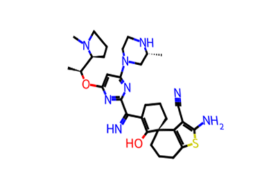 C[C@@H]1CN(c2cc(O[C@@H](C)[C@@H]3CCCN3C)nc(C(=N)C3=C(O)[C@@]4(CCC3)CCCc3sc(N)c(C#N)c34)n2)CCN1